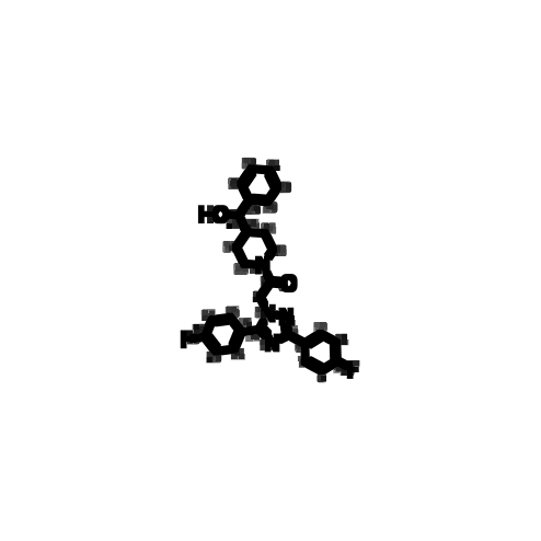 O=C(Cn1nc(-c2ccc(F)cc2)nc1-c1ccc(F)cc1)N1CCC(C(O)c2ccccc2)CC1